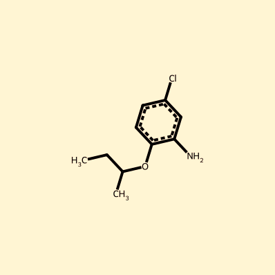 CCC(C)Oc1ccc(Cl)cc1N